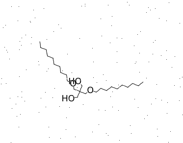 CCCCCCCCCCOCC(CO)(CO)COCCCCCCCCCC